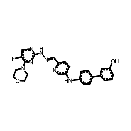 Oc1cccc(-c2ccc(Nc3ccc(/C=N/Nc4ncc(F)c(N5CCOCC5)n4)nc3)cc2)c1